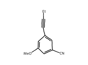 CCC#Cc1cc(C#N)cc(OC)c1